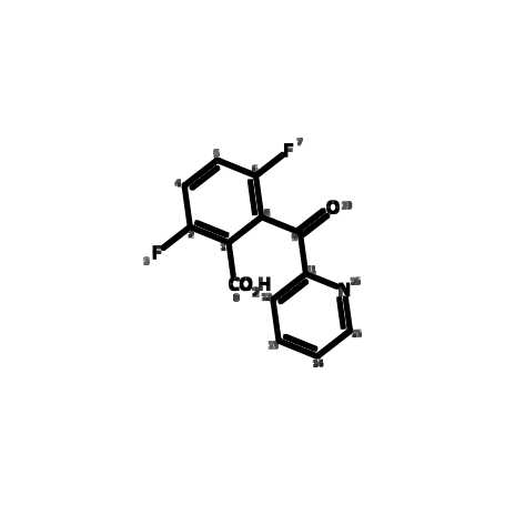 O=C(O)c1c(F)ccc(F)c1C(=O)c1ccccn1